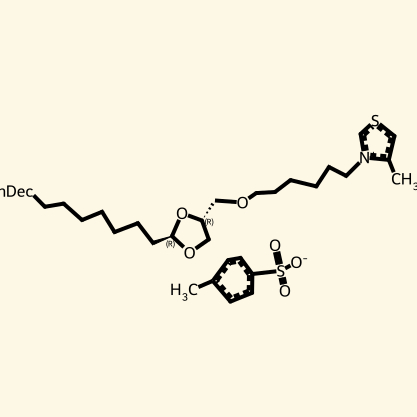 CCCCCCCCCCCCCCCCC[C@@H]1OC[C@@H](COCCCCCC[n+]2cscc2C)O1.Cc1ccc(S(=O)(=O)[O-])cc1